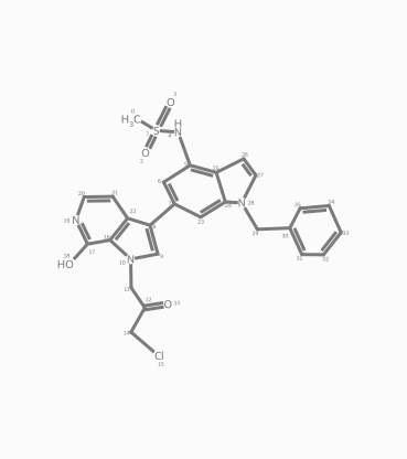 CS(=O)(=O)Nc1cc(-c2cn(CC(=O)CCl)c3c(O)nccc23)cc2c1ccn2Cc1ccccc1